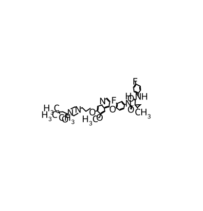 COc1cc2c(Oc3ccc(NC(=O)[C@]4(C(=O)Nc5ccc(F)cc5)C[C@H]4C)cc3F)ccnc2cc1OCCCN1CCN(C(=O)CC(C)(C)C)CC1